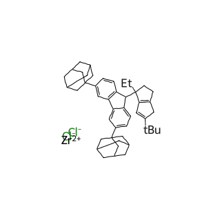 CCC1(C2c3ccc(C45CC6CC(CC(C6)C4)C5)cc3-c3cc(C45CC6CC(CC(C6)C4)C5)ccc32)CCC2=C1C=C(C(C)(C)C)C2.[Cl-].[Cl-].[Zr+2]